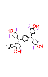 Cc1cc(C(c2ccc(C(c3cc(I)c(O)c(I)c3)c3cc(I)c(O)c(I)c3)cc2)c2cc(I)c(O)c(I)c2)cc(I)c1O